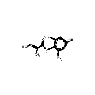 C/C(=N\O)C(=O)Nc1c(C)cc(O)cc1C